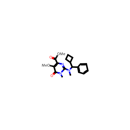 COC(=O)c1nc(N(C)C(c2ccccc2)C2CCC2)n(C)c(=O)c1OC